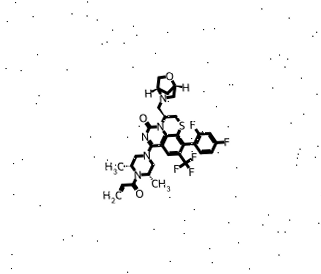 C=CC(=O)N1[C@H](C)CN(c2nc(=O)n3c4c(c(-c5ccc(F)cc5F)c(C(F)(F)F)cc24)SC[C@@H]3CN2C[C@@H]3C[C@H]2CO3)C[C@@H]1C